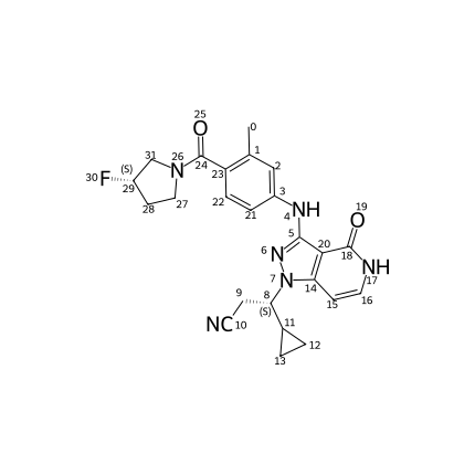 Cc1cc(Nc2nn([C@@H](CC#N)C3CC3)c3cc[nH]c(=O)c23)ccc1C(=O)N1CC[C@H](F)C1